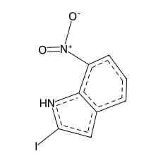 O=[N+]([O-])c1cccc2cc(I)[nH]c12